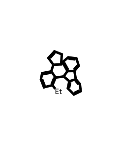 CCc1cccc(C2C=CCC2)c1C1c2ccccc2-c2ccccc21